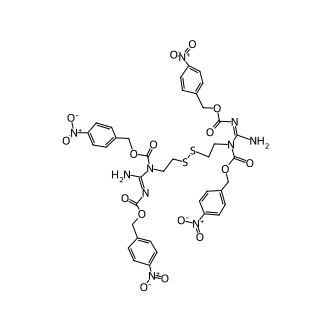 NC(=NC(=O)OCc1ccc([N+](=O)[O-])cc1)N(CCSSCCN(C(=O)OCc1ccc([N+](=O)[O-])cc1)C(N)=NC(=O)OCc1ccc([N+](=O)[O-])cc1)C(=O)OCc1ccc([N+](=O)[O-])cc1